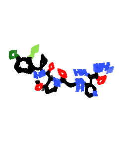 CO[C@@H]1CCN(C(=O)CNc2ccncc2C(=N)C(N)=O)[C@@H]1C(=O)NC1(c2cccc(Cl)c2F)CC1